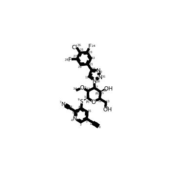 C#Cc1cnc(C#N)c(S[C@H]2OC(CO)[C@H](O)C(n3cc(-c4cc(F)c(Cl)c(F)c4)nn3)C2OC)c1